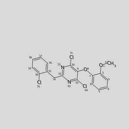 COc1ccccc1Oc1c(Cl)nc(Cc2ccccc2Cl)nc1Cl